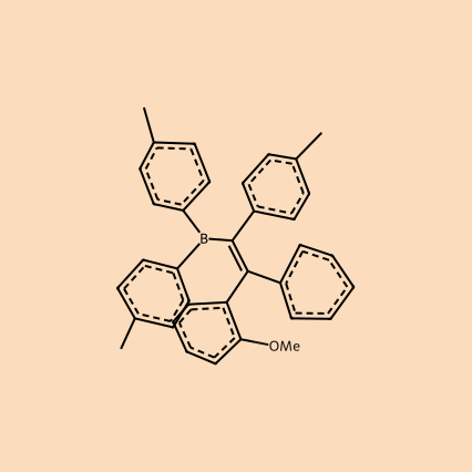 COc1ccccc1/C(=C(\B(c1ccc(C)cc1)c1ccc(C)cc1)c1ccc(C)cc1)c1ccccc1